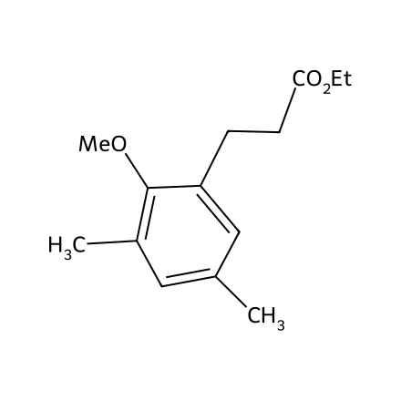 CCOC(=O)CCc1cc(C)cc(C)c1OC